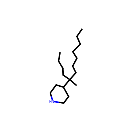 CCCCCCCC(C)(CCCC)C1CCNCC1